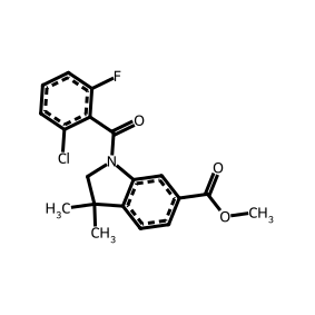 COC(=O)c1ccc2c(c1)N(C(=O)c1c(F)cccc1Cl)CC2(C)C